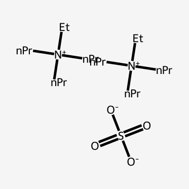 CCC[N+](CC)(CCC)CCC.CCC[N+](CC)(CCC)CCC.O=S(=O)([O-])[O-]